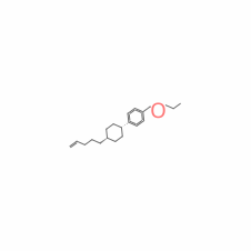 C=CCCC[C@H]1CC[C@H](c2ccc(COCCC)cc2)CC1